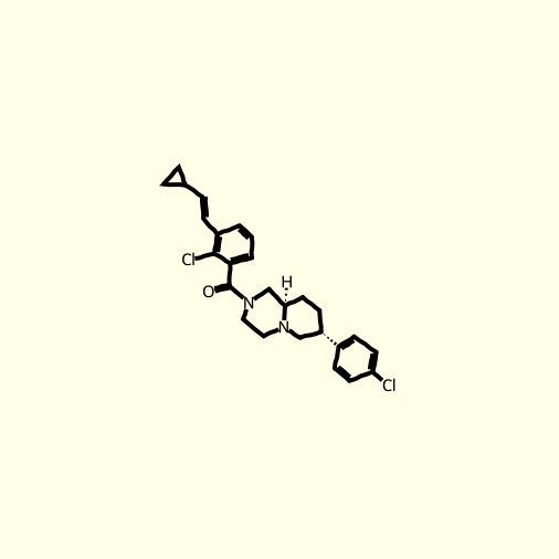 O=C(c1cccc(/C=C/C2CC2)c1Cl)N1CCN2C[C@@H](c3ccc(Cl)cc3)CC[C@@H]2C1